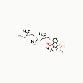 CC(=CCc1cccc2c(O)c(C)c(C)c(O)c12)CCCC(C)CCCC(C)CCCC(C)C